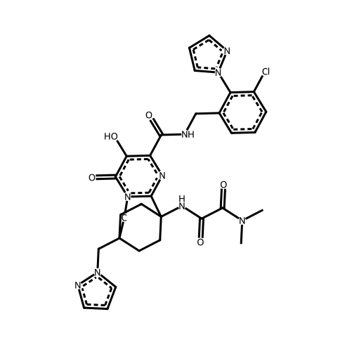 CN(C)C(=O)C(=O)NC12CCC(Cn3cccn3)(CC1)Cn1c2nc(C(=O)NCc2cccc(Cl)c2-n2cccn2)c(O)c1=O